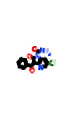 NC(=O)N1C(=O)C(C(=O)c2ccccc2)c2ncc(Cl)cc21